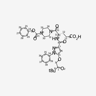 CC(C)(C)C(=O)COc1cc(C(=O)N[C@@H](CCC(=O)O)C(=O)N2CCN(C(=O)Oc3ccccc3)CC2)nn1-c1ccccc1